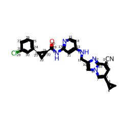 N#Cc1cc(C2CC2)cn2cc(CNc3ccnc(NC(=O)[C@H]4C[C@@H]4c4cccc(Cl)c4)c3)nc12